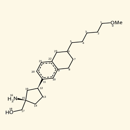 COCCCCCC1CCc2cc([C@H]3CC[C@](N)(CO)C3)ccc2C1